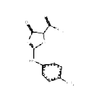 Cc1ccc(NC2=NC(=O)C(C(N)=O)S2)cc1